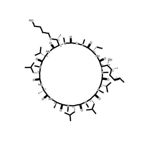 C/C=C/C[C@@H](C)[C@@H](O)[C@@H]1C(=O)N[C@@H](CC)C(=O)N(C)CC(=O)N(C)[C@@H]([C@@H](C)OCCCCO)C(=O)N[C@@H](C(C)C)C(=O)N(C)[C@@H](CC(C)C)C(=O)N[C@@H](C)C(=O)N[C@H](C)C(=O)N(C)[C@@H](CC(C)C)C(=O)N(C)[C@@H](CC(C)C)C(=O)N(C)[C@@H](C(C)C)C(=O)N1C